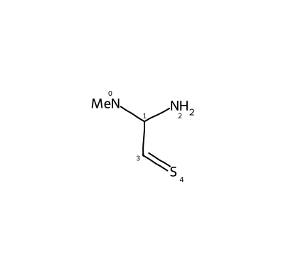 CNC(N)C=S